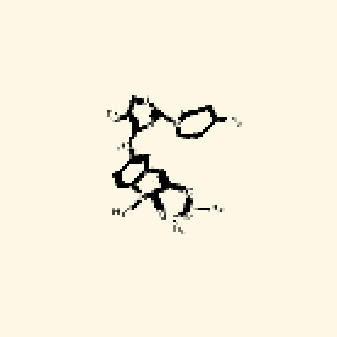 CC(=O)[C@@H](C)Oc1cc2cc(Nc3nc(N4CCC(C)CC4)ncc3Cl)ccc2n(C)c1=O